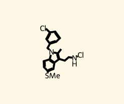 CSc1ccc2c(c1)c(CCNCl)c(C)n2Cc1cccc(Cl)c1